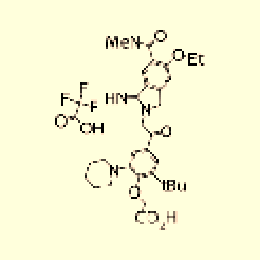 CCOc1cc2c(cc1C(=O)NC)C(=N)N(CC(=O)c1cc(N3CCCCC3)c(OCC(=O)O)c(C(C)(C)C)c1)C2.O=C(O)C(F)(F)F